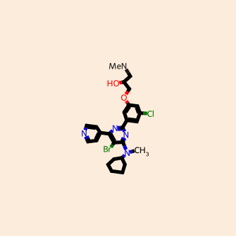 CNCC(O)COc1cc(Cl)cc(-c2nc(-c3ccncc3)c(Br)c(N(C)C3CCCCC3)n2)c1